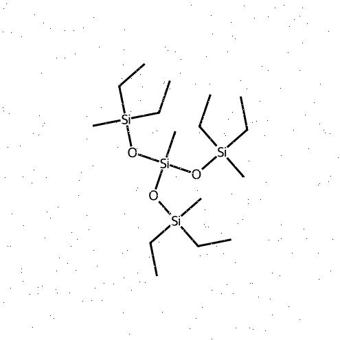 CC[Si](C)(CC)O[Si](C)(O[Si](C)(CC)CC)O[Si](C)(CC)CC